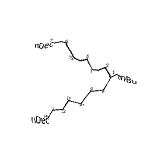 [CH2]CCCC(CCCCCCCCCCCCCCC)CCCCCCCCCCCCCCCC